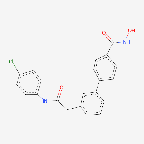 O=C(Cc1cccc(-c2ccc(C(=O)NO)cc2)c1)Nc1ccc(Cl)cc1